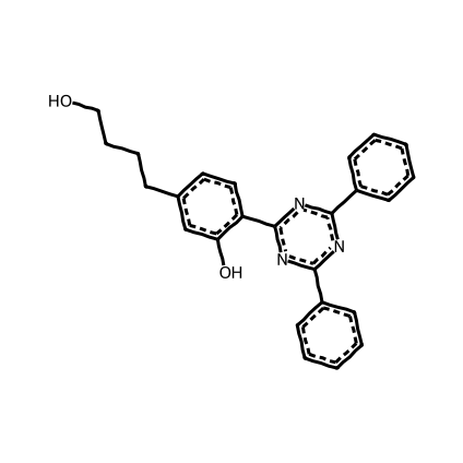 OCCCCc1ccc(-c2nc(-c3ccccc3)nc(-c3ccccc3)n2)c(O)c1